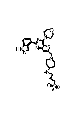 CN(CCCS(C)(=O)=O)C1CCN(Cc2cc3nc(-c4cccc5[nH]ncc45)nc(N4CCOCC4)c3s2)CC1